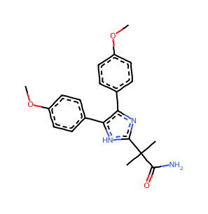 COc1ccc(-c2nc(C(C)(C)C(N)=O)[nH]c2-c2ccc(OC)cc2)cc1